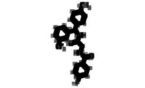 Cc1ccc(C(NC(=O)CNC(=O)c2ccc(F)cc2)c2cccc(C(F)(F)F)c2)cc1